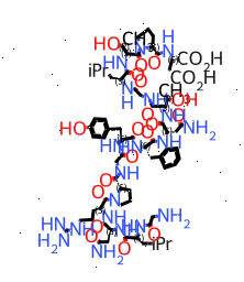 CC(C)C[C@H](NC(=O)CN)C(=O)N[C@@H](CC(N)=O)C(=O)N[C@@H](CCCNC(=N)N)C(=O)N1CCC[C@H]1C(=O)NCC(=O)N[C@@H](Cc1ccc(O)cc1)C(=O)N[C@@H](Cc1ccccc1)C(=O)N[C@@H](CC(N)=O)C(=O)N[C@H](C(=O)NCC(=O)N[C@@H](CC(C)C)C(=O)N[C@H](C(=O)N1CCC[C@H]1C(=O)N[C@@H](CC(=O)O)C(=O)O)[C@@H](C)O)[C@@H](C)O